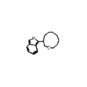 C1=c2ccccc2=C(C2CCCCCCCCC2)[P]1